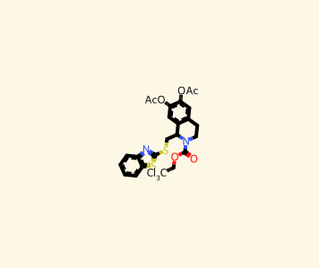 CC(=O)Oc1cc2c(cc1OC(C)=O)C(CSc1nc3ccccc3s1)N(C(=O)OCC(Cl)(Cl)Cl)CC2